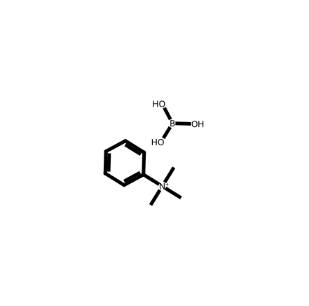 C[N+](C)(C)c1ccccc1.OB(O)O